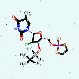 Cc1cn([C@@H]2O[C@H](CO[P]3(S)SCCS3)[C@@H](O[Si](C)(C)C(C)(C)C)[C@H]2F)c(=O)[nH]c1=O